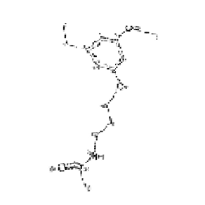 CCc1cc(OC)cc(OCCCNC(C)=O)c1